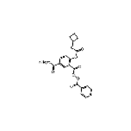 CCCCCCCC(=O)c1ccc(OC(=O)OC2CCC2)c(C(=O)OOC(=O)c2ccccc2)c1